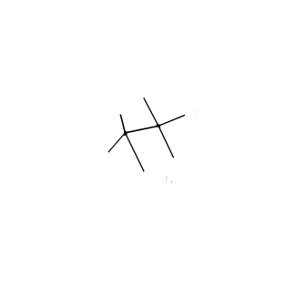 CC(C)(O)C(C)(C)Cl.N